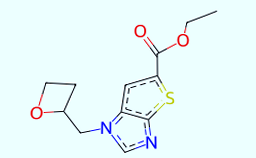 CCOC(=O)c1cc2c(ncn2CC2CCO2)s1